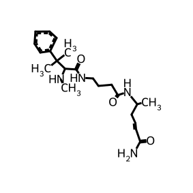 CNC(C(=O)NCCCC(=O)NC(C)CC=CC(N)=O)C(C)(C)c1ccccc1